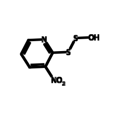 O=[N+]([O-])c1cccnc1SSO